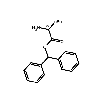 CCCC[C@H](N)C(=O)OC(c1ccccc1)c1ccccc1